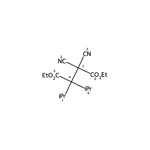 CCOC(=O)C(C#N)(C#N)C(C(=O)OCC)(C(C)C)C(C)C